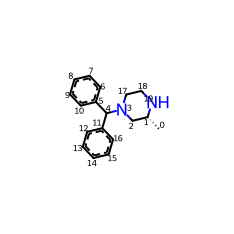 C[C@@H]1CN(C(c2ccccc2)c2ccccc2)CCN1